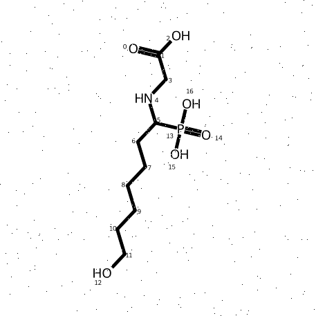 O=C(O)CNC(CCCCCCO)P(=O)(O)O